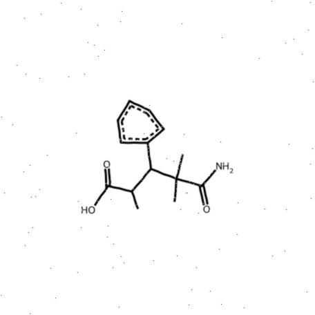 CC(C(=O)O)C(c1ccccc1)C(C)(C)C(N)=O